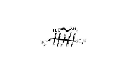 C=CCN.O=S(=O)(O)C(F)(F)C(F)(F)C(F)(F)C(F)(F)C(F)(F)CC(F)(F)F